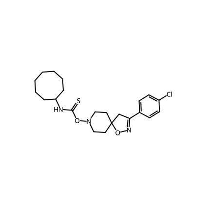 S=C(NC1CCCCCCC1)ON1CCC2(CC1)CC(c1ccc(Cl)cc1)=NO2